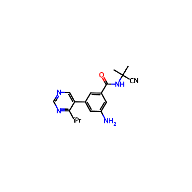 CC(C)c1ncncc1-c1cc(N)cc(C(=O)NC(C)(C)C#N)c1